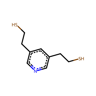 SCCc1cncc(CCS)c1